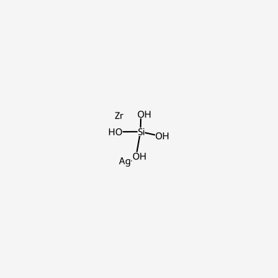 O[Si](O)(O)O.[Ag].[Zr]